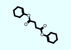 O=C(CCC(=O)OC1=CCCCC1)OC1=CCCCC1